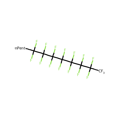 CCCC[CH]C(F)(F)C(F)(F)C(F)(F)C(F)(F)C(F)(F)C(F)(F)C(F)(F)C(F)(F)F